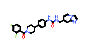 O=C(NCc1ccn2ccnc2c1)Nc1ccc(C2CCN(C(=O)c3ccc(F)cc3F)CC2)cc1